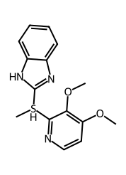 COc1ccnc([SH](C)c2nc3ccccc3[nH]2)c1OC